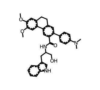 COc1cc2c(cc1OC)-c1cc(C(=O)NC(CO)Cc3c[nH]c4ccccc34)c(-c3ccc(N(C)C)cc3)cc1CC2